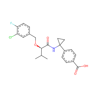 CC(C)[C@@H](OCc1ccc(F)c(Cl)c1)C(=O)NC1(c2ccc(C(=O)O)cc2)CC1